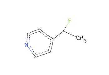 CC(F)c1c[c]ncc1